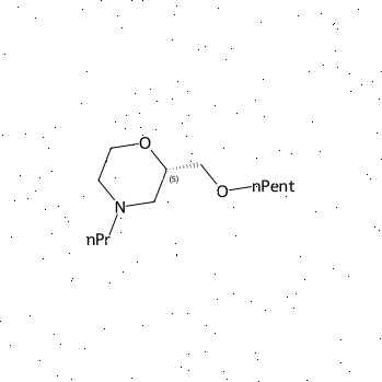 CCCCCOC[C@@H]1CN(CCC)CCO1